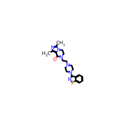 Cc1nc(C)n2c1C(=O)N(CCN1CCN(c3nsc4ccccc34)CC1)CC2